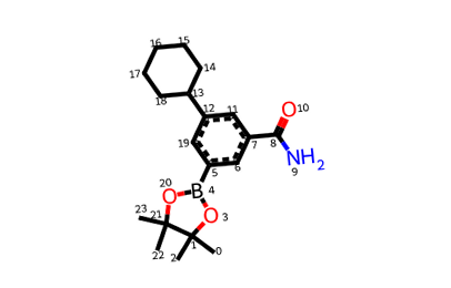 CC1(C)OB(c2cc(C(N)=O)cc(C3CCCCC3)c2)OC1(C)C